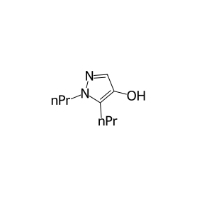 CCCc1c(O)cnn1CCC